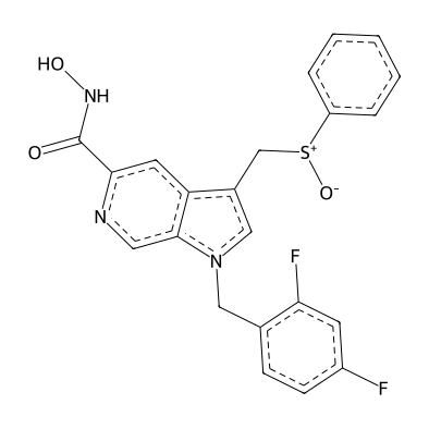 O=C(NO)c1cc2c(C[S+]([O-])c3ccccc3)cn(Cc3ccc(F)cc3F)c2cn1